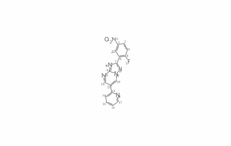 O=[N+]([O-])c1ccc(F)c(-c2nc3ncc(-c4ccccn4)cn3n2)c1